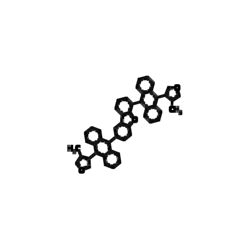 Cc1cocc1-c1c2ccccc2c(-c2ccc3oc4c(-c5c6ccccc6c(-c6cocc6C)c6ccccc56)cccc4c3c2)c2ccccc12